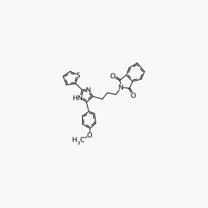 COc1ccc(-c2[nH]c(-c3cccs3)nc2CCCN2C(=O)c3ccccc3C2=O)cc1